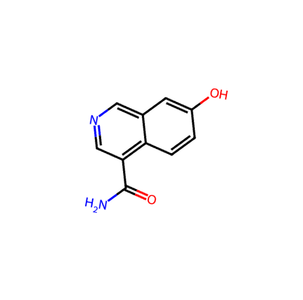 NC(=O)c1cncc2cc(O)ccc12